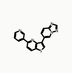 c1cncc(-c2ccc3scc(-c4ccc5ncnn5c4)c3n2)c1